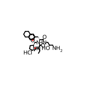 CCC(CC)C(=O)N(C(=O)[C@@H]1CCCN1)[C@H](Cc1ccc2c(c1)CCCC2)C(=O)NCC(O)CN.Cl